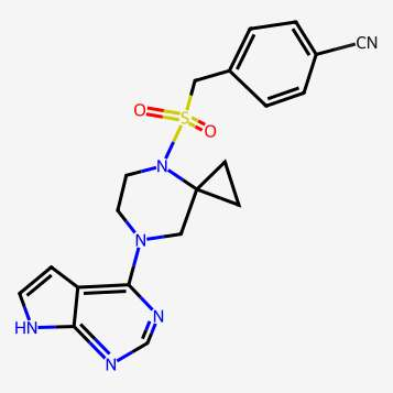 N#Cc1ccc(CS(=O)(=O)N2CCN(c3ncnc4[nH]ccc34)CC23CC3)cc1